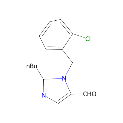 CCCCc1ncc(C=O)n1Cc1ccccc1Cl